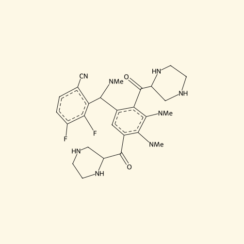 CNc1c(C(=O)C2CNCCN2)cc(C(NC)c2c(C#N)ccc(F)c2F)c(C(=O)C2CNCCN2)c1NC